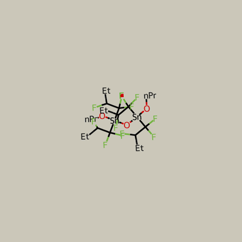 CCC[O][Sn]([O][Sn]([O]CCC)([C](F)(F)C(F)CC)[C](F)(F)C(F)CC)([C](F)(F)C(F)CC)[C](F)(F)C(F)CC